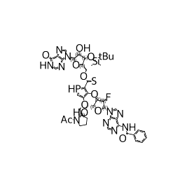 CC(=O)N1CCC[C@@H]1COc1c[pH]c(C(=S)OC[C@H]2O[C@@H](n3cnc4c(=O)[nH]cnc43)[C@H](O)[C@@H]2O[Si](C)(C)C(C)(C)C)c1O[C@H]1[C@@H](F)[C@H](n2cnc3c(NC(=O)c4ccccc4)ncnc32)O[C@@H]1CO